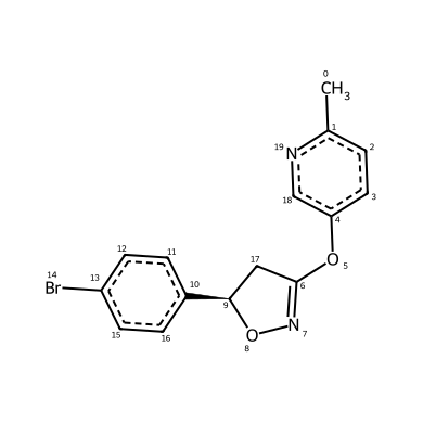 Cc1ccc(OC2=NO[C@@H](c3ccc(Br)cc3)C2)cn1